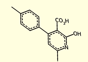 Cc1ccc(-c2cc(C)nc(O)c2C(=O)O)cc1